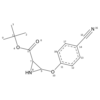 CC(C)(C)OC(=O)C1NC1Oc1ccc(C#N)cc1